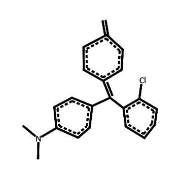 C=c1ccc(=C(c2ccc(N(C)C)cc2)c2ccccc2Cl)cc1